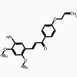 C=CCOc1ccc(C(=O)C=Cc2cc(CCC)c(OCCCC)cc2OCCCC)cc1